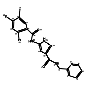 O=C(NCc1ccccn1)c1cc(NC(=O)c2cc(F)c(F)cc2Cl)[nH]n1